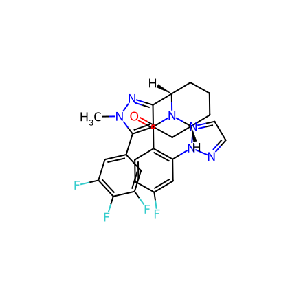 Cn1nc2c(c1-c1cc(F)c(F)c(F)c1)C[C@H]1CCC[C@@H]2N1C(=O)c1ccc(F)cc1-n1nccn1